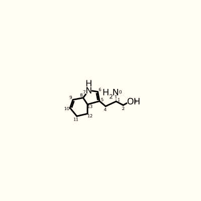 N[C@H](CO)CC1=CNC2C=CCCC12